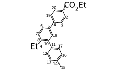 CCOC(=O)c1ccc(-c2ccc(CC)c(-c3ccc(C)cc3)c2)cc1